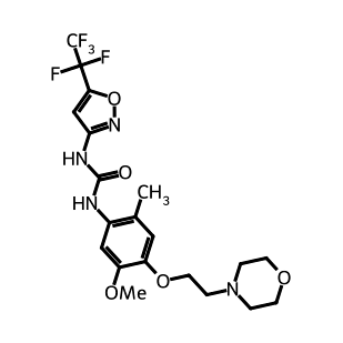 COc1cc(NC(=O)Nc2cc(C(F)(F)C(F)(F)F)on2)c(C)cc1OCCN1CCOCC1